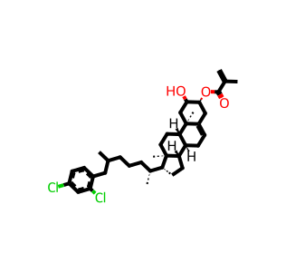 C=C(C)C(=O)O[C@@H]1CC2=CC[C@H]3[C@@H]4CC[C@H]([C@H](C)CCCC(C)Cc5ccc(Cl)cc5Cl)[C@@]4(C)CC[C@@H]3[C@@]2(C)CC1O